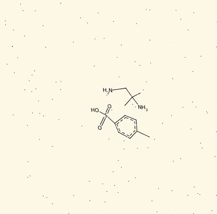 CC(C)(N)CN.Cc1ccc(S(=O)(=O)O)cc1